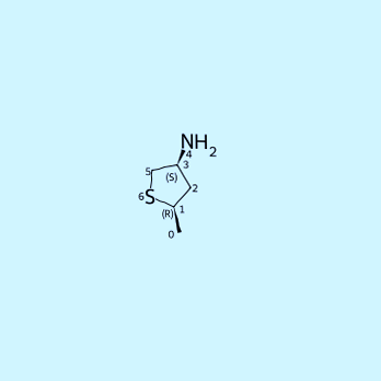 C[C@@H]1C[C@H](N)CS1